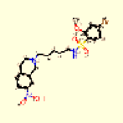 O=[N+](O)c1ccc2c(c1)CN(CCCCCNS(=O)(=O)c1ccc(Br)cc1OC(F)(F)F)CC2